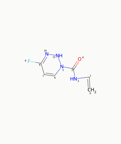 C=CNC(=O)N1C=CC(F)=NN1